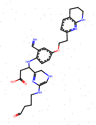 N=Cc1cc(OCCc2ccc3c(n2)NCCC3)ccc1NC(CC(=O)O)C1=NC(NCCCC=O)=CNC1